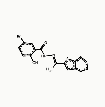 C/C(=N\NC(=O)c1cc(Br)ccc1O)c1cc2ccccc2s1